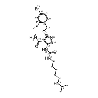 CC(C)NCCCCCNC(=O)Nc1snc(OCc2ccc(Br)cc2F)c1C(N)=O